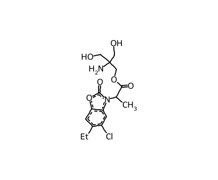 CCc1cc2oc(=O)n(C(C)C(=O)OCC(N)(CO)CO)c2cc1Cl